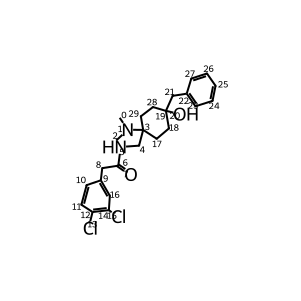 CN(C)C1(CNC(=O)Cc2ccc(Cl)c(Cl)c2)CCC(O)(Cc2ccccc2)CC1